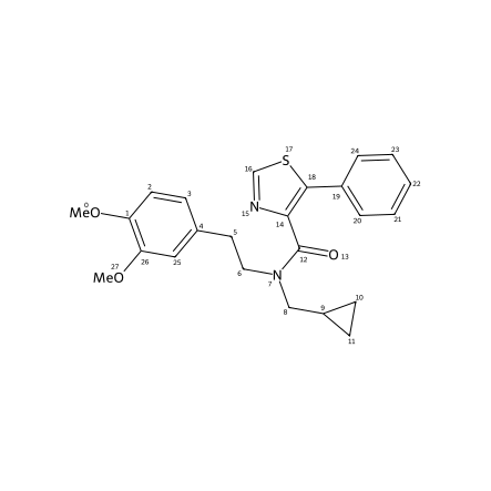 COc1ccc(CCN(CC2CC2)C(=O)c2ncsc2-c2ccccc2)cc1OC